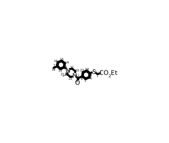 CCOC(=O)CSc1ccc(C(=O)N2CCN(c3cccc(C)c3)[C@@H](C)C2)cc1